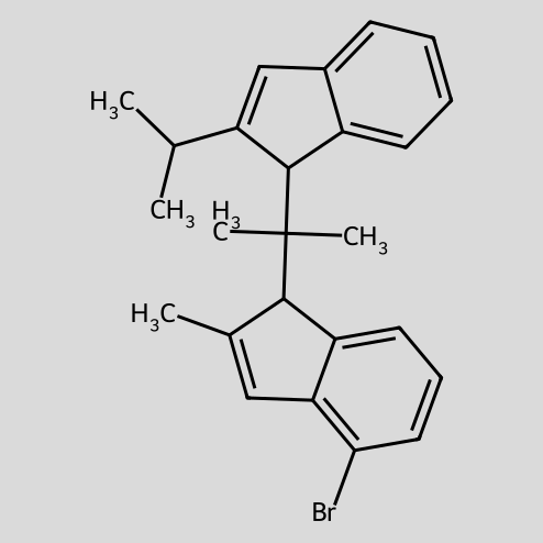 CC1=Cc2c(Br)cccc2C1C(C)(C)C1C(C(C)C)=Cc2ccccc21